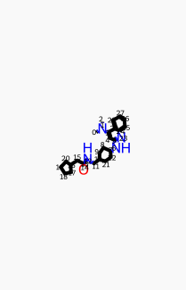 CN(C)c1cc(NC2CCC(CNC(=O)CC3CCCC3)CC2)nc2ccccc12